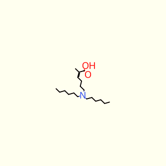 CCCCCCN(CCCC=C(C)C(=O)O)CCCCCC